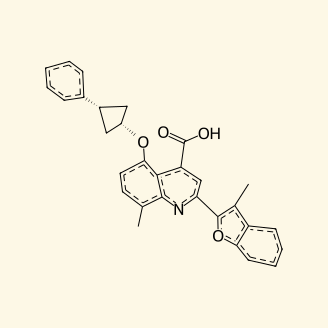 Cc1c(-c2cc(C(=O)O)c3c(O[C@H]4C[C@@H](c5ccccc5)C4)ccc(C)c3n2)oc2ccccc12